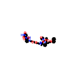 Cc1nn(CCCOCCOCCNc2cccc3c2C(=O)N(C2CCC(=O)NC2=O)C3=O)c(C)c1-c1cccc2c(CCCOc3cccc4ccccc34)c(C(=O)OC(C)(C)C)n(CCN3CCOCC3)c12